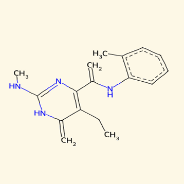 C=C1NC(NC)=NC(C(=C)Nc2ccccc2C)=C1CC